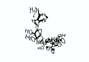 Nc1ncnc2c1ncn2[C@@H]1O[C@H](COP(=O)(O)OP(=O)(O)OP(=O)(O)O)[C@@](N)(O)[C@H]1O